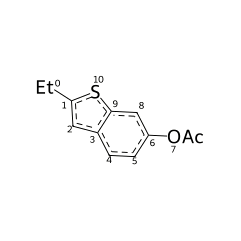 CCc1cc2ccc(OC(C)=O)cc2s1